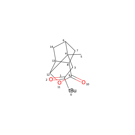 CC(C)(C)C(=O)CC1(C)C2CC3C(=O)OC1C3C2